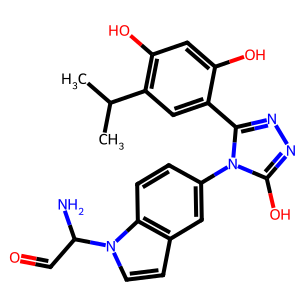 CC(C)c1cc(-c2nnc(O)n2-c2ccc3c(ccn3C(N)C=O)c2)c(O)cc1O